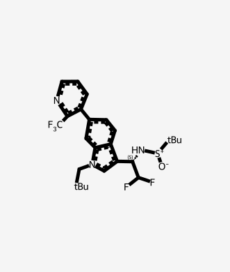 CC(C)(C)Cn1cc([C@H](N[S+]([O-])C(C)(C)C)C(F)F)c2ccc(-c3cccnc3C(F)(F)F)cc21